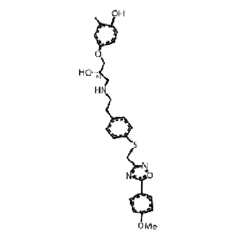 COc1ccc(-c2nc(CSc3ccc(CCNC[C@H](O)COc4ccc(O)c(C)c4)cc3)no2)cc1